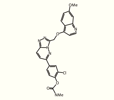 CNC(=O)Oc1ccc(-c2ccc3nnc(COc4ccnc5cc(OC)ccc45)n3n2)cc1Cl